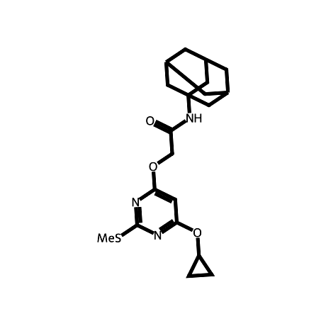 CSc1nc(OCC(=O)NC23CC4CC(CC(C4)C2)C3)cc(OC2CC2)n1